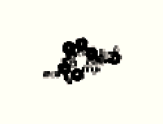 COc1cc(-c2cccc(-c3cccc4c3cnn4Cc3cc(OC)c(CN(C)[C@H]4CC[C@H](C(=O)O)CC4)cc3Cl)c2Cl)ccc1CNC[C@@H]1CCCC(=O)N1